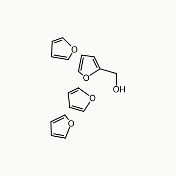 OCc1ccco1.c1ccoc1.c1ccoc1.c1ccoc1